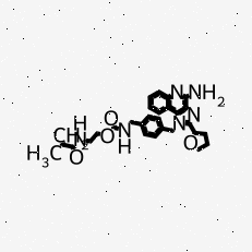 C=C(C)C(=O)NCCOC(=O)NCc1ccc(Cn2c(C3CCCO3)nc3c(N)nc4ccccc4c32)cc1